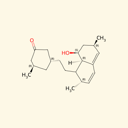 C[C@H]1CC(=O)C[C@H](CCC2[C@@H](C)C=CC3=C[C@H](C)C[C@H](O)[C@@H]32)C1